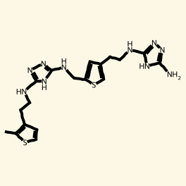 Cc1sccc1CCNc1nnc(NCc2cc(CCNc3nnc(N)[nH]3)cs2)[nH]1